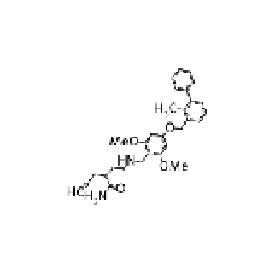 C#CCC(CCNCc1c(OC)cc(OCc2cccc(-c3ccccc3)c2C)cc1OC)C(N)=O